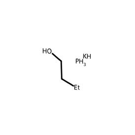 CCCCO.P.[KH]